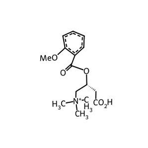 COc1ccccc1C(=O)O[C@H](CC(=O)O)C[N+](C)(C)C